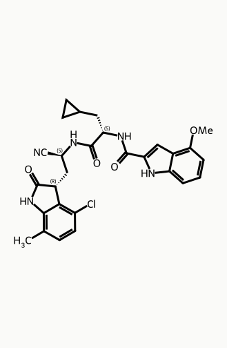 COc1cccc2[nH]c(C(=O)N[C@@H](CC3CC3)C(=O)N[C@H](C#N)C[C@H]3C(=O)Nc4c(C)ccc(Cl)c43)cc12